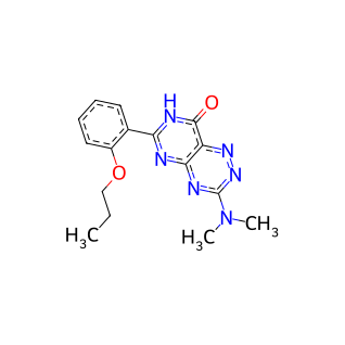 CCCOc1ccccc1-c1nc2nc(N(C)C)nnc2c(=O)[nH]1